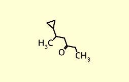 CCC(=O)CC(C)C1CC1